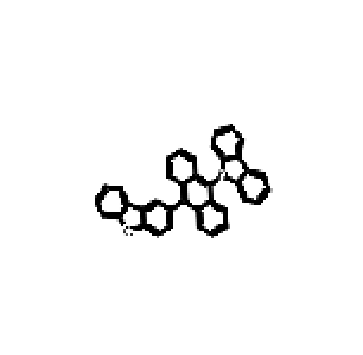 c1ccc2c(c1)oc1ccc(-c3c4ccccc4c(-n4c5ccccc5c5ccccc54)c4ccccc34)cc12